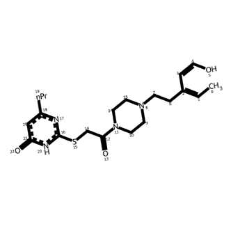 C/C=C(\C=C/O)CCN1CCN(C(=O)CSc2nc(CCC)cc(=O)[nH]2)CC1